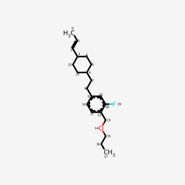 C/C=C/C1CCC(CCc2ccc(COCCC)c(F)c2)CC1